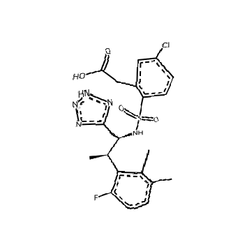 Cc1ccc(F)c([C@@H](C)[C@H](NS(=O)(=O)c2ccc(Cl)cc2CC(=O)O)c2nn[nH]n2)c1C